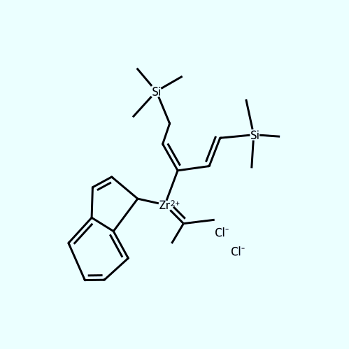 C[C](C)=[Zr+2]([C](C=C[Si](C)(C)C)=CC[Si](C)(C)C)[CH]1C=Cc2ccccc21.[Cl-].[Cl-]